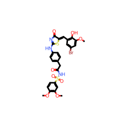 COc1ccc(S(=O)(=O)NC(=O)Cc2ccc(NC3=NC(=O)C(=Cc4cc(Br)cc(OC)c4O)S3)cc2)cc1OC